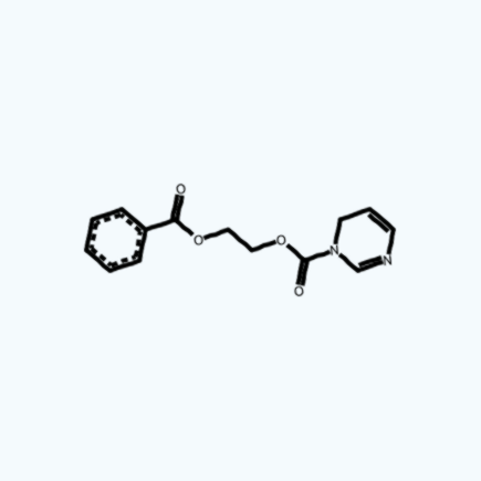 O=C(OCCOC(=O)N1C=NC=CC1)c1ccccc1